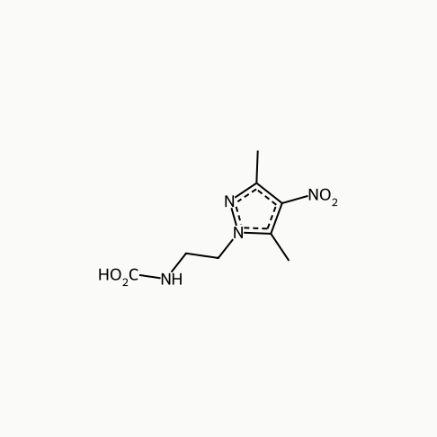 Cc1nn(CCNC(=O)O)c(C)c1[N+](=O)[O-]